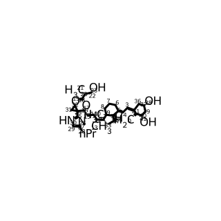 C=C1/C(=C\C=C2/CCC[C@]3(C)[C@@H]([C@H](C)CC[C@H](OC(=O)C(C)CO)C4(c5nc(CCC)c[nH]5)CC4)CC[C@@H]23)C[C@@H](O)C[C@@H]1O